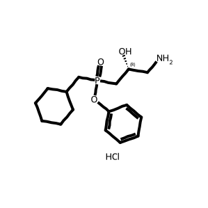 Cl.NC[C@@H](O)CP(=O)(CC1CCCCC1)Oc1ccccc1